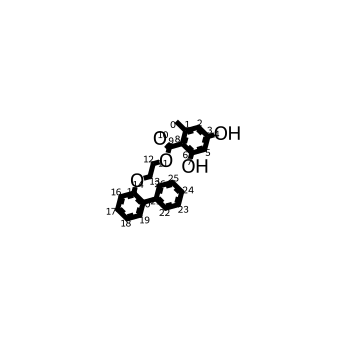 Cc1cc(O)cc(O)c1C(=O)OCCOc1ccccc1-c1ccccc1